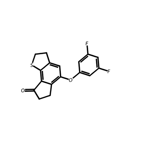 O=C1CCc2c(Oc3cc(F)cc(F)c3)cc3c(c21)SCC3